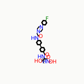 C[C@@H](O)[C@H](NC(=O)c1ccc(-c2ccc(NC(=O)CN3CCN(c4ccc(F)cc4)CC3)cc2)cc1)C(=O)NO